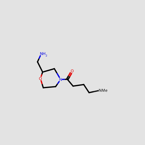 CNCCCC(=O)N1CCOC(CN)C1